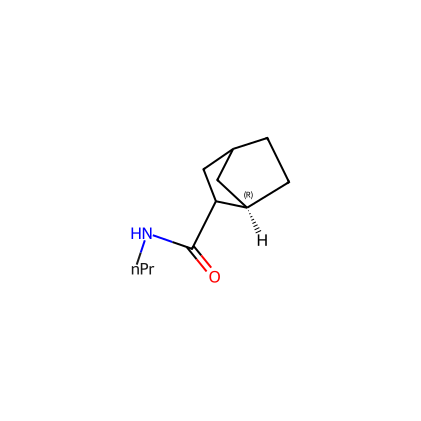 CCCNC(=O)C1CC2CC[C@@H]1C2